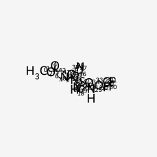 CCOC(=O)C1CCN(CC(=O)NC(Sc2ncccc2C(=O)Nc2ccc(OC(F)(F)F)cc2)c2ccncc2)CC1